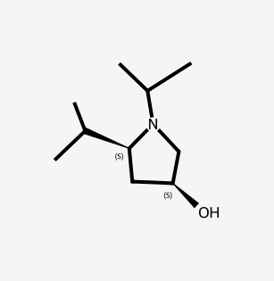 CC(C)[C@@H]1C[C@H](O)CN1C(C)C